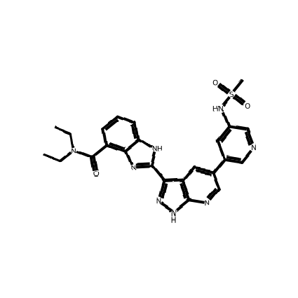 CCN(CC)C(=O)c1cccc2[nH]c(-c3n[nH]c4ncc(-c5cncc(NS(C)(=O)=O)c5)cc34)nc12